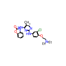 CCN(CC)CCOc1ccc(Nc2ncc(C)c(Nn3c(=O)oc4ccccc43)n2)cc1Cl